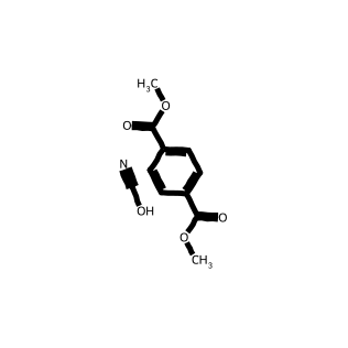 COC(=O)c1ccc(C(=O)OC)cc1.N#CO